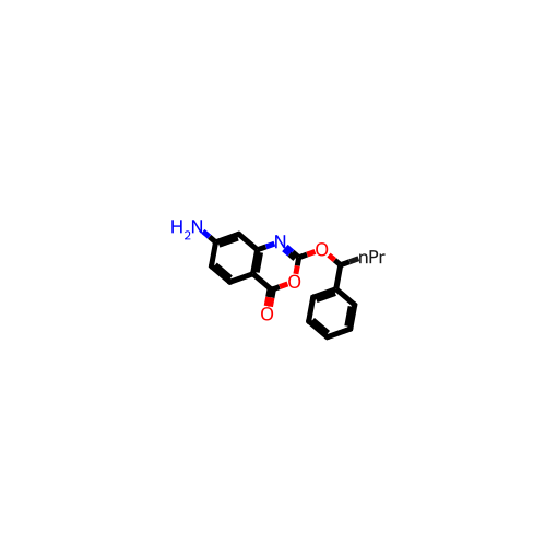 CCCC(Oc1nc2cc(N)ccc2c(=O)o1)c1ccccc1